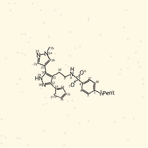 CCCCCc1ccc(S(=O)(=O)NCCc2c(-c3cccs3)n[nH]c2-c2cnn(C)c2)cc1